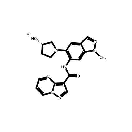 Cl.Cn1ncc2cc(N3CC[C@H](O)C3)c(NC(=O)c3cnn4cccnc34)cc21